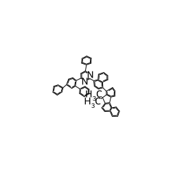 CC1(C)c2ccc3ccccc3c2-c2cccc(-c3ccc(-c4nc(-c5ccccc5)cc(-c5ccc(-c6ccccc6)cc5-c5ccccc5)n4)c4ccccc34)c21